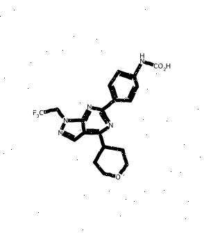 O=C(O)Nc1ccc(-c2nc(C3CCOCC3)c3cnn(CC(F)(F)F)c3n2)cc1